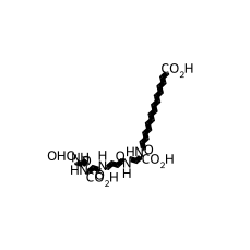 O=CNCC(=O)NC(CC(=O)NCCCC(=O)NCCC(NC(=O)CCCCCCCCCCCCCCCCC(=O)O)C(=O)O)C(=O)O